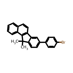 CC1(C)c2ccc(-c3ccc(Br)cc3)cc2-c2ccc3ccccc3c21